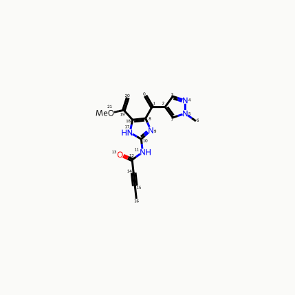 C=C(c1cnn(C)c1)c1nc(NC(=O)C#CC)[nH]c1C(=C)OC